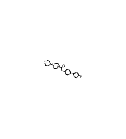 O=C(Cc1ccc(-c2ccc(F)cc2)cc1)N1CCN(C2CCOCC2)CC1